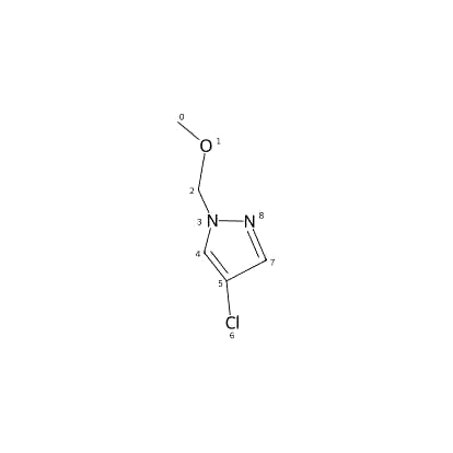 COCn1cc(Cl)cn1